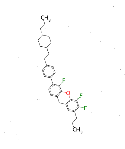 CCCc1cc2c(c(F)c1F)Oc1c(ccc(-c3ccc(CCC4CCC(CCC)CC4)cc3)c1F)C2